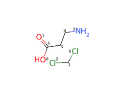 ClCCl.NCCC(=O)O